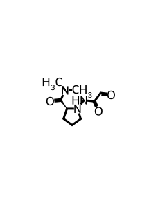 CN(C)C(=O)[C@@H]1CCCN1NC(=O)C=O